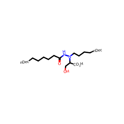 CCCCCCCCCCCCCCCC(=O)NN(CCCCCCCCCCCCCC)C(CO)C(=O)O